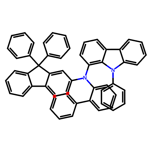 c1ccc(-c2ccccc2N(c2ccc3c(c2)C(c2ccccc2)(c2ccccc2)c2ccccc2-3)c2cccc3c4ccccc4n(-c4ccccc4)c23)cc1